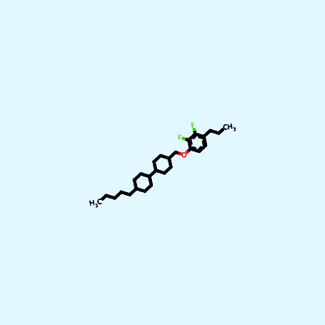 CCCCCC1CCC(C2CCC(COc3ccc(CCC)c(F)c3F)CC2)CC1